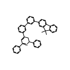 CC1(C)c2ccccc2-c2ccc(-c3cccc(-c4cccc(C5=CC(c6ccccc6)=NC(c6ccccc6)C5)c4)c3)cc21